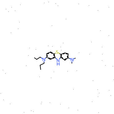 CCCN(CCC)c1ccc2c(c1)Nc1cc(N(C)C)ccc1S2